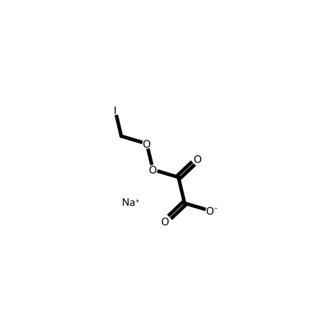 O=C([O-])C(=O)OOCI.[Na+]